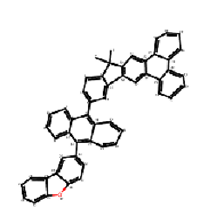 CC1(C)c2ccc(-c3c4ccccc4c(-c4ccc5oc6ccccc6c5c4)c4ccccc34)cc2-c2cc3c4ccccc4c4ccccc4c3cc21